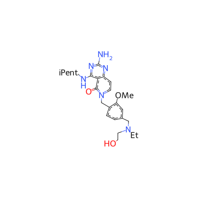 CCCC(C)Nc1nc(N)nc2ccn(Cc3ccc(CN(CC)CCO)cc3OC)c(=O)c12